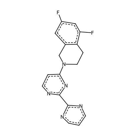 Fc1cc(F)c2c(c1)CN(c1ccnc(-c3ncccn3)n1)CC2